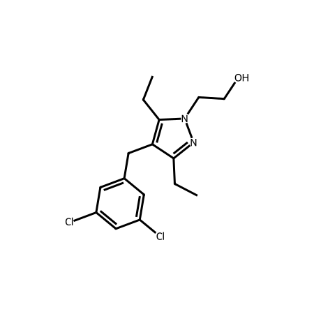 CCc1nn(CCO)c(CC)c1Cc1cc(Cl)cc(Cl)c1